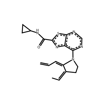 C=C/C=C1\C(=C/C)CCN1c1ncnc2sc(C(=O)NC3CC3)nc12